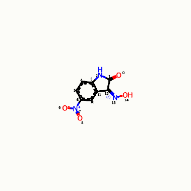 O=C1Nc2ccc([N+](=O)[O-])cc2/C1=N/O